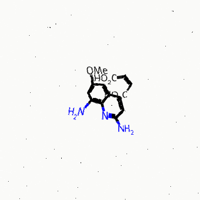 COc1cc(N)c2nc(N)ccc2c1.O=C(O)/C=C\C(=O)O